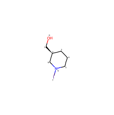 OC[C@H]1CCCN(I)C1